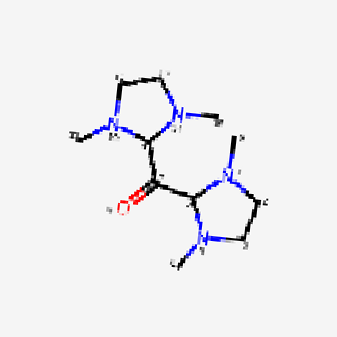 CN1CCN(C)C1C(=O)C1N(C)CCN1C